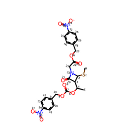 CSC1C(C(C)OC(=O)OCc2ccc([N+](=O)[O-])cc2)C(=O)N1CC(=O)OCc1ccc([N+](=O)[O-])cc1